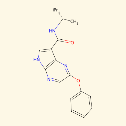 CC(C)[C@H](C)NC(=O)c1c[nH]c2ncc(Oc3ccccc3)nc12